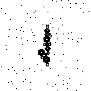 C1CNC1.O=[N+]([O-])c1ccc(S(=O)(=O)N2CC(OC(c3ccc(Cl)cc3)c3ccccc3C(F)(F)F)C2)cc1